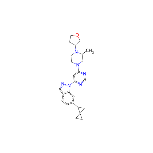 CC1CN(c2cc(-n3ncc4ccc(C5CC56CC6)cc43)ncn2)CCN1C1CCOC1